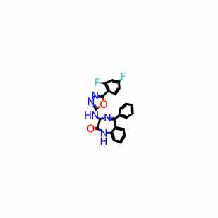 O=C1Nc2ccccc2C(c2ccccc2)=NC1Nc1nnc(-c2ccc(F)cc2F)o1